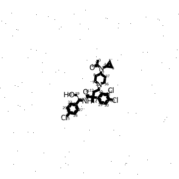 CC(=O)N(C1CC1)C1CCN(CCC(C)(C(=O)N[C@@H](CO)c2ccc(Cl)cc2)c2ccc(Cl)c(Cl)c2)CC1